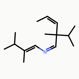 C/C=C\C(C)(/C=N\C=C(/C)C(C)C)C(C)C